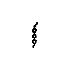 CCCCOc1ccc(-c2ccc(C3=CCC(CCC)CC3)cc2)cc1